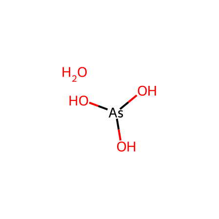 O.O[As](O)O